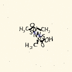 C=CCN1C(=O)C(C)S/C1=N/N=C1/SC(O)C(=O)N1CC=C